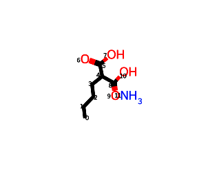 CCCCC(C(=O)O)C(=O)O.N